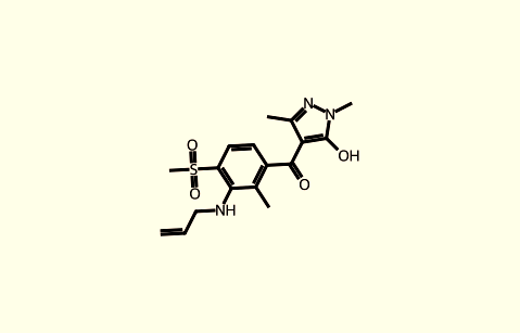 C=CCNc1c(S(C)(=O)=O)ccc(C(=O)c2c(C)nn(C)c2O)c1C